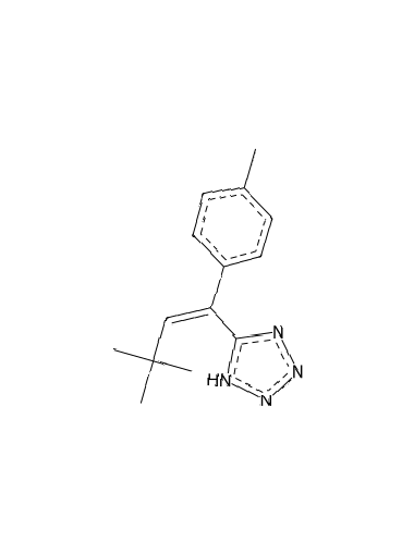 Cc1ccc(C(=CC(C)(C)C)c2nnn[nH]2)cc1